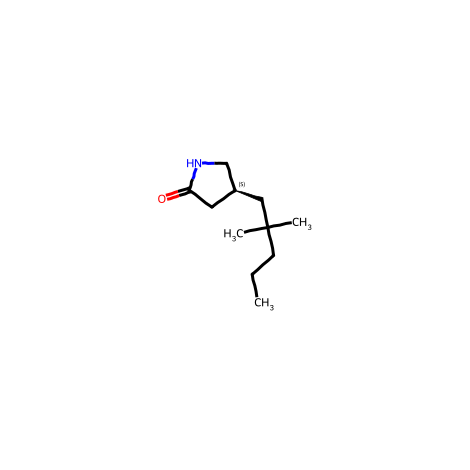 CCCC(C)(C)C[C@@H]1CNC(=O)C1